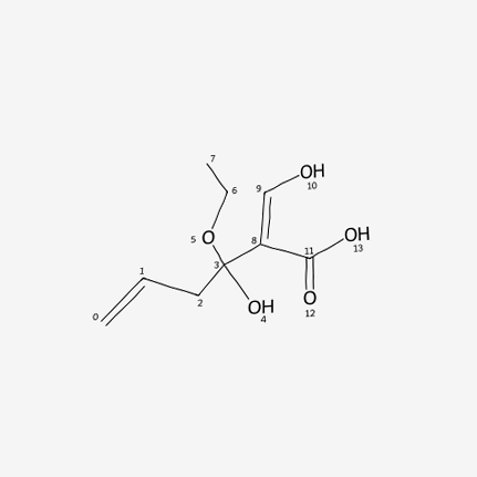 C=CCC(O)(OCC)C(=CO)C(=O)O